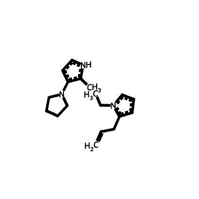 C=CCc1cccn1CC.Cc1[nH]ccc1N1CCCC1